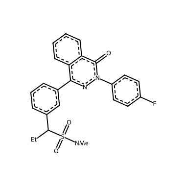 CCC(c1cccc(-c2nn(-c3ccc(F)cc3)c(=O)c3ccccc23)c1)S(=O)(=O)NC